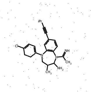 CC(=N)N1c2ccc(C#CC(C)C)cc2N(C2=CC=C(Cl)CC2)CC(C)C1N